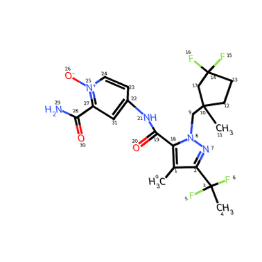 Cc1c(C(C)(F)F)nn(CC2(C)CCC(F)(F)C2)c1C(=O)Nc1cc[n+]([O-])c(C(N)=O)c1